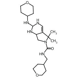 CC1(C)C2=CNC(NC3CCOCC3)NC2CN1C(=O)NCC1CCOCC1